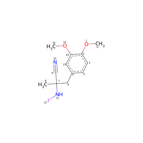 COc1ccc(CC(C)(C#N)NI)cc1OC